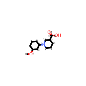 COC1CCCC(N2CCCC(C(=O)O)C2)C1